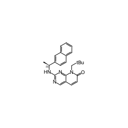 C[C@H](Nc1ncc2ccc(=O)n(CC(C)(C)C)c2n1)c1ccc2ccccc2c1